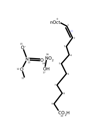 CCCCCCCC/C=C\CCCCCCCC(=O)O.CO[N+](=O)[O-].O=[N+]([O-])O